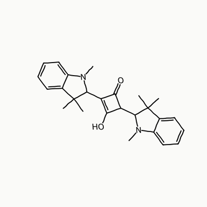 CN1c2ccccc2C(C)(C)C1C1=C(O)C(C2N(C)c3ccccc3C2(C)C)C1=O